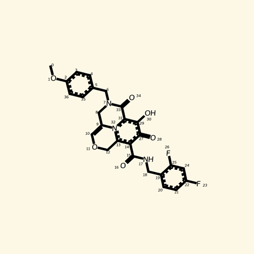 COc1ccc(CN2CC3=COCc4c(C(=O)NCc5ccc(F)cc5F)c(=O)c(O)c(n43)C2=O)cc1